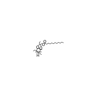 CCCCCCCCCCCC(=O)OCC1(CC)COC2(CC(C)(CC)NC(C)(CC)C2C)OC1